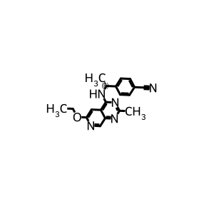 CCOc1cc2c(N[C@H](C)c3ccc(C#N)cc3)nc(C)nc2cn1